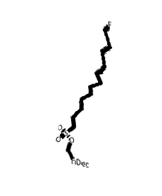 CCCCCCCCCCCOS(=O)(=O)CCCCCCCCCCCCF